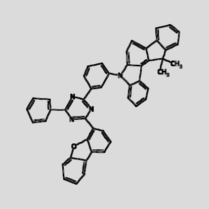 CC1(C)c2ccccc2-c2ccc3c(c21)c1ccccc1n3-c1cccc(-c2nc(-c3ccccc3)nc(-c3cccc4c3oc3ccccc34)n2)c1